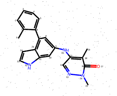 Cc1ccccc1-c1cc(Nc2cnn(C)c(=O)c2C)cc2[nH]ccc12